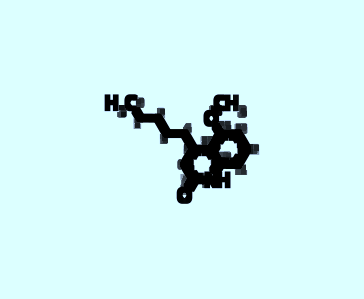 CCCCCc1cc(=O)[nH]c2cccc(OC)c12